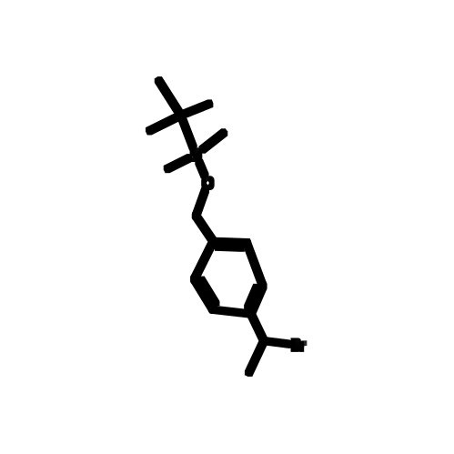 CC(Br)c1ccc(CO[Si](C)(C)C(C)(C)C)cc1